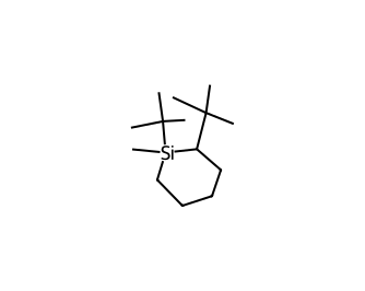 CC(C)(C)C1CCCC[Si]1(C)C(C)(C)C